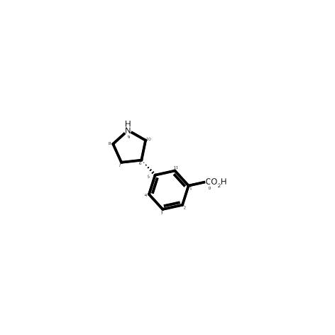 O=C(O)c1cccc([C@@H]2CCNC2)c1